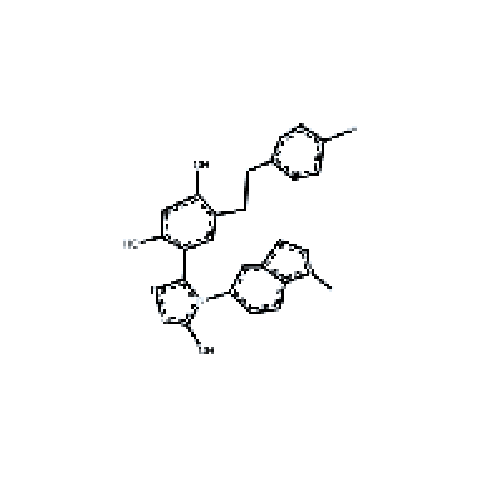 Cn1ccc2cc(-n3c(O)nnc3-c3cc(CCc4ccc(F)cc4)c(O)cc3O)ccc21